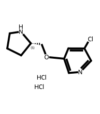 Cl.Cl.Clc1cncc(OC[C@@H]2CCCN2)c1